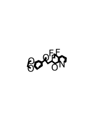 O=C(CCC(=O)c1ncccc1C(F)(F)F)c1ccc2c(c1)OCCO2